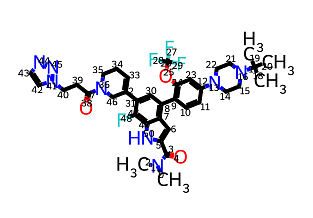 CN(C)C(=O)c1cc2c(-c3ccc(N4CCN(C(C)(C)C)CC4)cc3OC(F)(F)F)cc(C3=CCCN(C(=O)CCn4ccnn4)C3)c(F)c2[nH]1